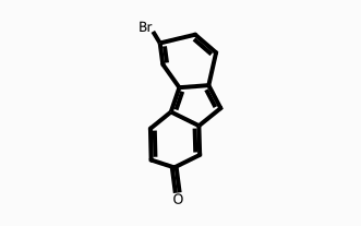 O=C1C=CC2=c3cc(Br)ccc3=CC2=C1